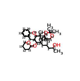 CC(O)CCC[C@H](C)C(OC1CCCCO1)[C@@H](Cc1ccccc1)C(=O)C(C)(C)[C@@H]1CCOC(C)(C)O1